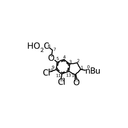 CCCCC1Cc2cc(OCC(=O)O)c(Cl)c(Cl)c2C1=O